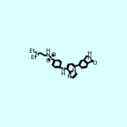 CCN(CC)CCNS(=O)(=O)c1ccc(Nc2ccc(-c3ccc4c(c3)CNC4=O)n3ccnc23)cc1